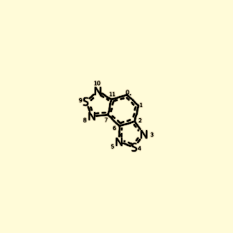 [c]1cc2nsnc2c2nsnc12